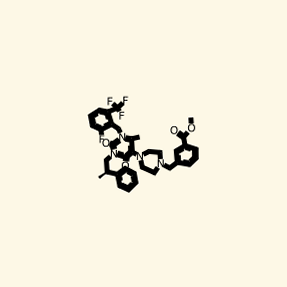 COC(=O)c1cccc(CN2CCN(c3c(C)n(Cc4c(F)cccc4C(F)(F)F)c(=O)n(C[C@H](C)c4ccccc4)c3=O)CC2)c1